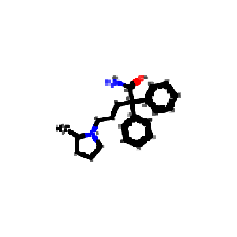 CC1CCCN1CCCC(C(N)=O)(c1ccccc1)c1ccccc1